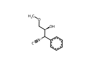 [C-]#[N+]C(c1ccccc1)[C@H](O)COC